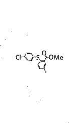 COC(=O)c1cc(C)ccc1Sc1ccc(Cl)cc1